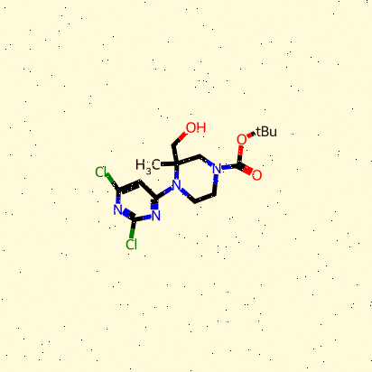 CC(C)(C)OC(=O)N1CCN(c2cc(Cl)nc(Cl)n2)C(C)(CO)C1